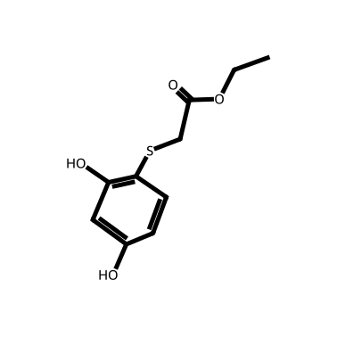 CCOC(=O)CSc1ccc(O)cc1O